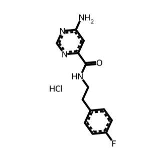 Cl.Nc1cc(C(=O)NCCc2ccc(F)cc2)ncn1